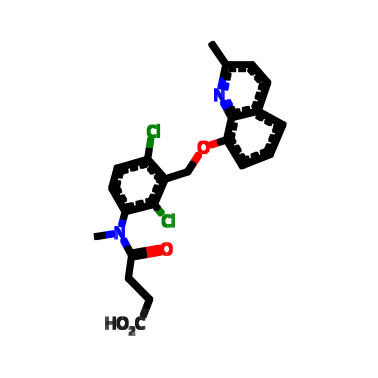 Cc1ccc2cccc(OCc3c(Cl)ccc(N(C)C(=O)CCC(=O)O)c3Cl)c2n1